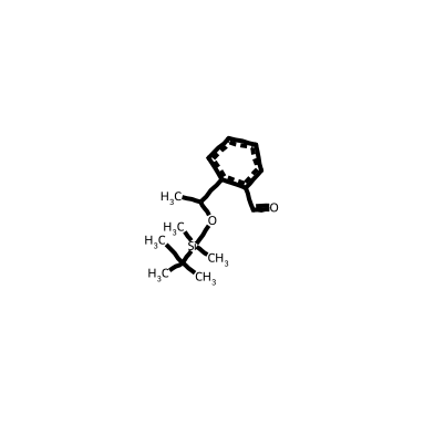 CC(O[Si](C)(C)C(C)(C)C)c1ccccc1C=O